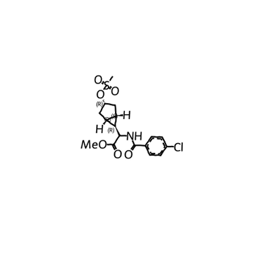 COC(=O)C(NC(=O)c1ccc(Cl)cc1)[C@H]1[C@@H]2C[C@H](OS(C)(=O)=O)C[C@@H]21